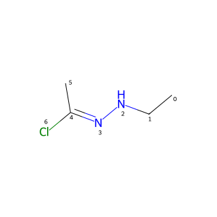 CCN/N=C(\C)Cl